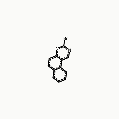 Brc1ncc2c(ccc3ccccc32)n1